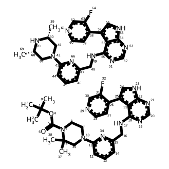 CC(C)(C)OC(=O)N1CCN(c2cccc(CNc3ncnc4[nH]cc(-c5ccncc5F)c34)n2)CC1(C)C.C[C@@H]1CN(c2cccc(CNc3ncnc4[nH]cc(-c5ccncc5F)c34)n2)C[C@H](C)N1